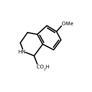 COc1ccc2c(c1)CCNC2C(=O)O